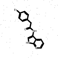 CCc1ccc(CC(=O)Nc2c[nH]c3ncccc23)cc1